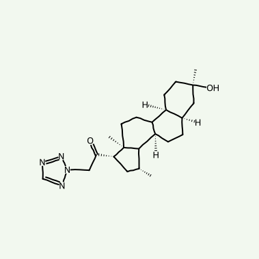 C[C@@H]1C[C@H](C(=O)Cn2ncnn2)[C@@]2(C)CCC3[C@@H](CC[C@@H]4C[C@](C)(O)CC[C@H]34)C12